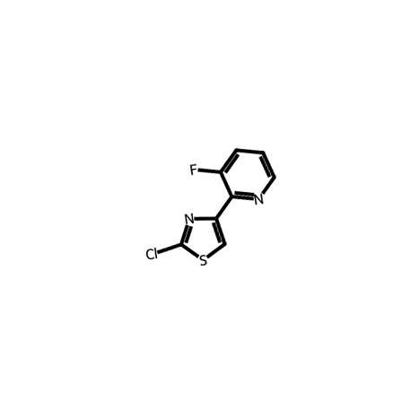 Fc1cccnc1-c1csc(Cl)n1